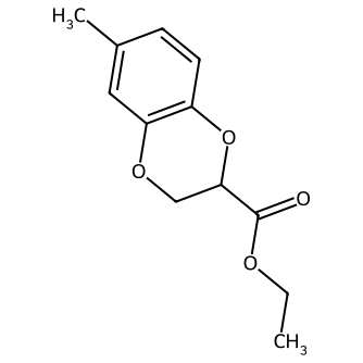 CCOC(=O)C1COc2cc(C)ccc2O1